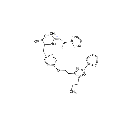 CCCc1oc(-c2ccccc2)nc1CCOc1ccc(CC(N/C(C)=C\C(=O)c2ccccc2)C(=O)O)cc1